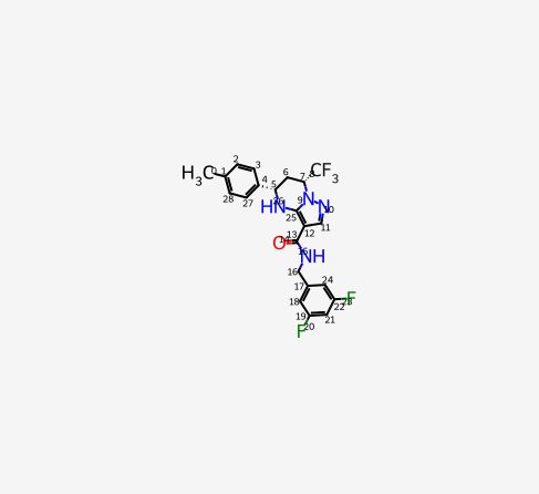 Cc1ccc([C@@H]2C[C@H](C(F)(F)F)n3ncc(C(=O)NCc4cc(F)cc(F)c4)c3N2)cc1